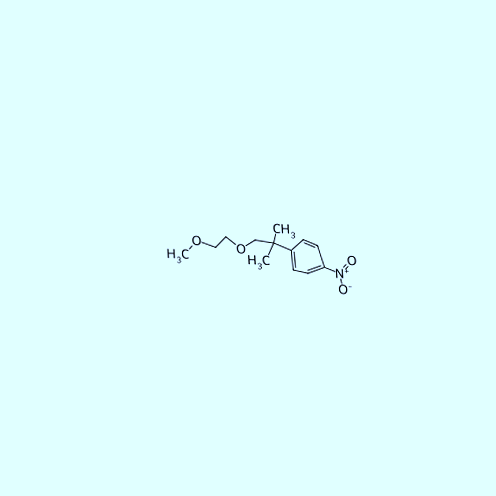 COCCOCC(C)(C)c1ccc([N+](=O)[O-])cc1